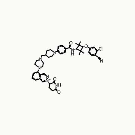 CC1(C)[C@H](NC(=O)c2ccc(N3CCC(CN4CCN(c5cccc6c[n+](C7CCC(=O)NC7=O)ncc56)CC4)CC3)cc2)C(C)(C)[C@H]1Oc1ccc(C#N)c(Cl)c1